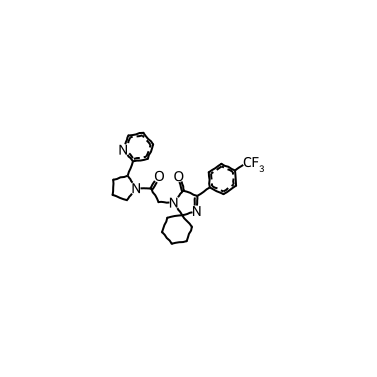 O=C(CN1C(=O)C(c2ccc(C(F)(F)F)cc2)=NC12CCCCC2)N1CCCC1c1ccccn1